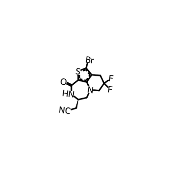 N#CC[C@@H]1CN2CC(F)(F)Cc3c(Br)sc(c32)C(=O)N1